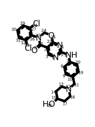 O=C1c2cnc(Nc3ccc(CN4CCC(O)CC4)cc3)nc2OCN1c1c(Cl)cccc1Cl